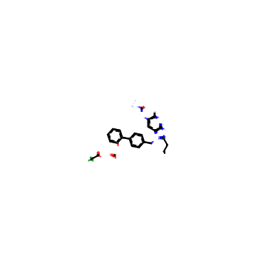 CCCc1nc2nc(C)c(NC(=O)N(C)C)cc2n1Cc1ccc(-c2ccccc2OC(=O)O)cc1.O=C(O)C(F)(F)F